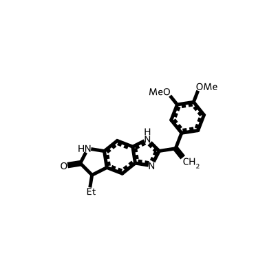 C=C(c1ccc(OC)c(OC)c1)c1nc2cc3c(cc2[nH]1)NC(=O)C3CC